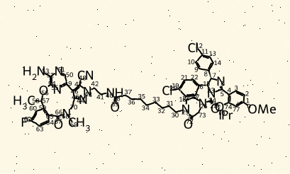 COc1ccc(C2=N[C@H](c3ccc(Cl)cc3)[C@H](c3ccc(Cl)cc3)N2C(=O)N2CCN(CCCCCCCCC(=O)NCCn3nc4c(c3C#N)-c3cnc(N)c(n3)O[C@H](C)c3cc(F)ccc3C(=O)N(C)C4)C(=O)C2)c(OC(C)C)c1